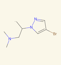 [CH2]C(CN(C)C)n1cc(Br)cn1